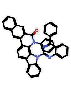 O=c1c2cc3ccccc3cc2c2ccc3c4ccccc4n(-c4nc(-c5ccccc5)c5ccccc5n4)c3c2n1-c1ccccc1